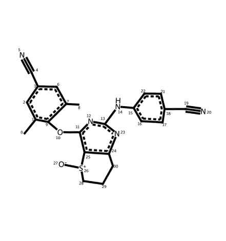 Cc1cc(C#N)cc(C)c1Oc1nc(Nc2ccc(C#N)cc2)nc2c1[S+]([O-])CCC2